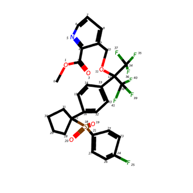 COC(=O)c1ncccc1COC(c1ccc(C2(S(=O)(=O)c3ccc(F)cc3)CCCC2)cc1)(C(F)(F)F)C(F)(F)F